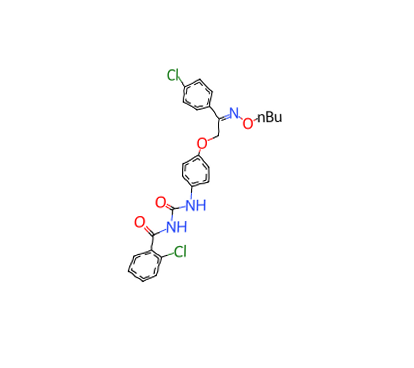 CCCCO/N=C(\COc1ccc(NC(=O)NC(=O)c2ccccc2Cl)cc1)c1ccc(Cl)cc1